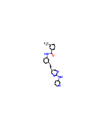 O=C(Nc1cccc(/C=C/c2cnc(Nc3cccnc3)nc2)c1)c1cccc(C(F)(F)F)c1